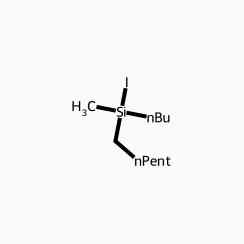 CCCCCC[Si](C)(I)CCCC